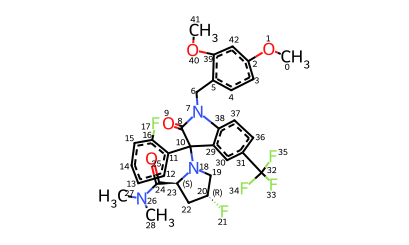 COc1ccc(CN2C(=O)C(c3ccccc3F)(N3C[C@H](F)C[C@H]3C(=O)N(C)C)c3cc(C(F)(F)F)ccc32)c(OC)c1